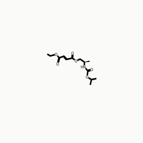 CCOC(=O)/C=C/C(=O)OC[C@@H](C)NC(=O)OC(C)C